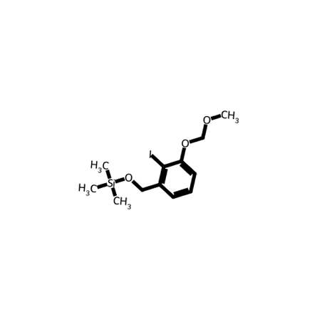 COCOc1cccc(CO[Si](C)(C)C)c1I